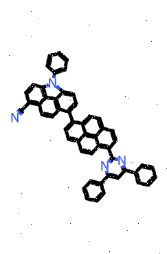 N#Cc1ccc2c3c1ccc1c(-c4ccc5ccc6c(-c7nc(-c8ccccc8)cc(-c8ccccc8)n7)ccc7ccc4c5c76)ccc(c13)n2-c1ccccc1